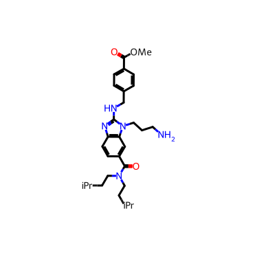 COC(=O)c1ccc(CNc2nc3ccc(C(=O)N(CCC(C)C)CCC(C)C)cc3n2CCCN)cc1